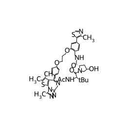 CC(=O)NC(C(=O)N1C[C@H](O)C[C@H]1C(=O)NCc1ccc(-c2scnc2C)cc1OCCCOc1ccc(C2=NCc3nnc(C)n3-c3sc(C)c(C)c32)cc1)C(C)(C)C